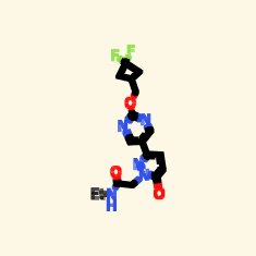 CCNC(=O)Cn1nc(-c2cnc(OCC3CC(F)(F)C3)nc2)ccc1=O